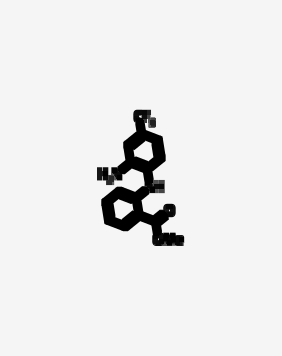 COC(=O)c1ccccc1Nc1ccc(C(F)(F)F)cc1N